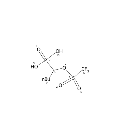 CCCCC(OS(=O)(=O)C(F)(F)F)P(=O)(O)O